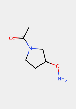 CC(=O)N1CCC(ON)C1